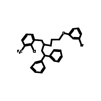 FC(F)(F)c1cccc(CN(CCCOc2cccc(Br)c2)CC(c2ccccc2)c2ccccc2)c1Cl